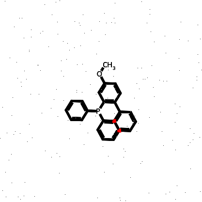 COc1ccc(-c2ccccc2)c(P(c2ccccc2)c2ccccc2)c1